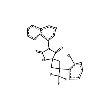 O=C1NC2(CC(c3ccccc3Cl)(C(F)(F)F)C2)C(=O)N1c1cncc2ccccc12